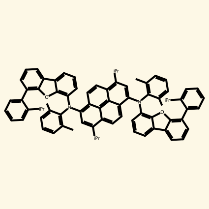 Cc1cccc(C)c1N(c1cc(C(C)C)c2ccc3c(N(c4c(C)cccc4C)c4cccc5c4oc4c(-c6ccccc6C(C)C)cccc45)cc(C(C)C)c4ccc1c2c43)c1cccc2c1oc1c(-c3ccccc3C(C)C)cccc12